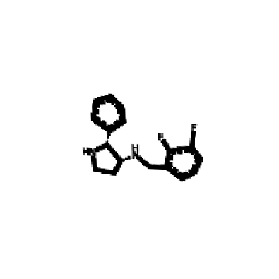 Fc1cccc(CN[C@@H]2CCN[C@@H]2c2ccccc2)c1F